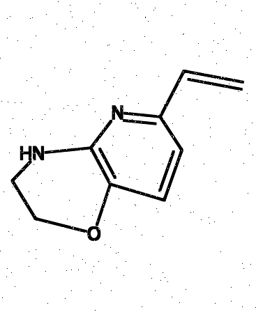 C=Cc1ccc2c(n1)NCCO2